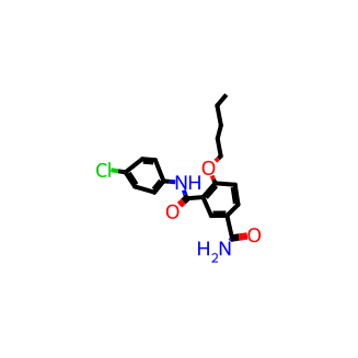 CCCCCOc1ccc(C(N)=O)cc1C(=O)Nc1ccc(Cl)cc1